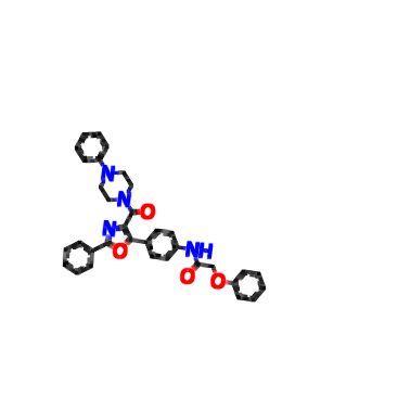 O=C(COc1ccccc1)Nc1ccc(-c2oc(-c3ccccc3)nc2C(=O)N2CCN(c3ccccc3)CC2)cc1